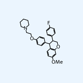 COc1ccc2c(c1)OCC(c1ccc(F)cc1)C2c1ccc(OCCN2CCCCC2)cc1